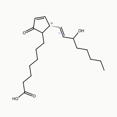 CCCCCC(O)/C=C/[C@H]1C=CC(=O)C1CCCCCCC(=O)O